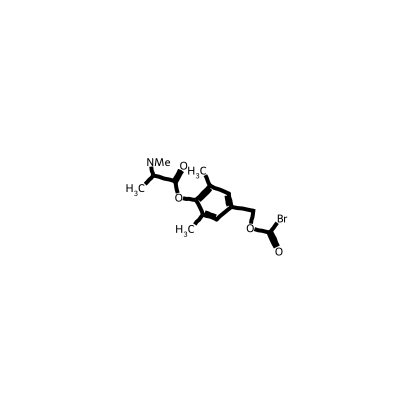 CNC(C)C(=O)Oc1c(C)cc(COC(=O)Br)cc1C